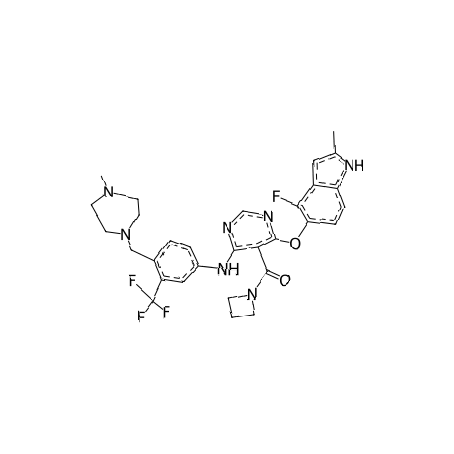 Cc1cc2c(F)c(Oc3ncnc(Nc4ccc(CN5CCN(C)CC5)c(C(F)(F)F)c4)c3C(=O)N3CCC3)ccc2[nH]1